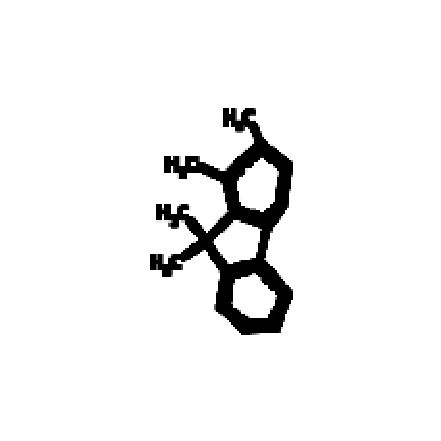 Cc1ccc2c(c1C)C(C)(C)c1ccccc1-2